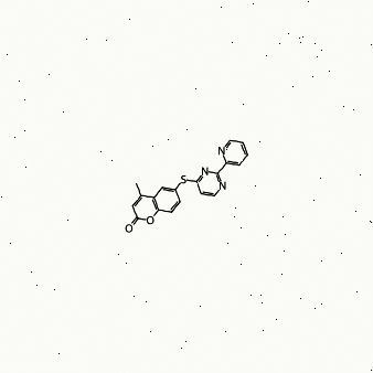 Cc1cc(=O)oc2ccc(Sc3ccnc(-c4ccccn4)n3)cc12